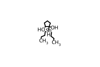 CCC[CH2][SnH]([CH2]CCC)[C]1(O)CCCC1O